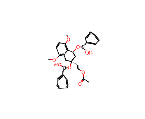 COc1ccc(OC)c2c1C[C@](CCOC(C)=O)(OB(O)c1ccccc1)C[C@@H]2OB(O)c1ccccc1